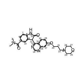 CN(C)C(=O)c1ccc2c(c1)C(c1ncnc3cc(OCCCN4CCOCC4)ccc13)C(=O)N2